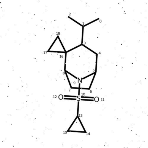 CC(C)C1CC2CCC(N2S(=O)(=O)C2CC2)C12CC2